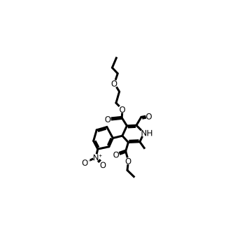 CCCOCCOC(=O)C1=C(C=O)NC(C)=C(C(=O)OCC)C1c1cccc([N+](=O)[O-])c1